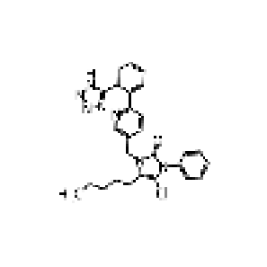 CCCCCc1c(Cl)n(-c2ccccc2)c(=O)n1Cc1ccc(-c2ccccc2-c2nnn[nH]2)nc1